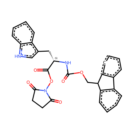 O=C(N[C@@H](Cc1c[nH]c2ccccc12)C(=O)ON1C(=O)CCC1=O)OCC1c2ccccc2-c2ccccc21